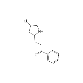 O=C(CCC1CC(Cl)CN1)c1ccccc1